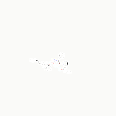 C=CCCC[C@@H]1CCC[C@@]1(C)OC(=O)N[C@H](C(=O)N1CC=C[C@H]1C(=O)OC)C1CCCC1